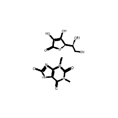 Cn1c(=O)c2[nH]c(Cl)nc2n(C)c1=O.O=C1O[C@H]([C@@H](O)CO)C(O)=C1O